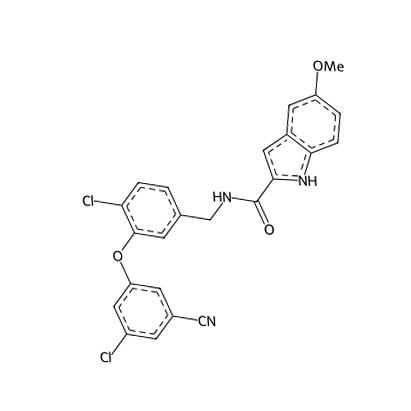 COc1ccc2[nH]c(C(=O)NCc3ccc(Cl)c(Oc4cc(Cl)cc(C#N)c4)c3)cc2c1